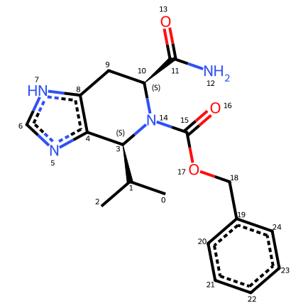 CC(C)[C@H]1c2nc[nH]c2C[C@@H](C(N)=O)N1C(=O)OCc1ccccc1